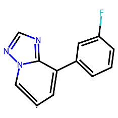 Fc1cccc(-c2c[c]cn3ncnc23)c1